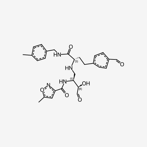 Cc1ccc(CNC(=O)[C@H](CCc2ccc(C=O)cc2)NC[C@H](NC(=O)c2cc(C)on2)[C@@H](O)C=O)cc1